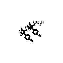 Cc1noc(-c2ccc(Br)cc2)c1CC#N.Cc1noc(-c2ccc(Br)cc2)c1CC(=O)O